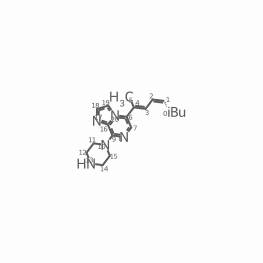 CC[C@@H](C)/C=C\C=C(/C)c1cnc(N2CCNCC2)c2nccn12